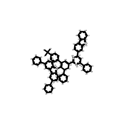 CC(C)(C)c1ccc(C2=C(n3c4ccc(-c5ccccc5)cc4c4cc(-c5ccccc5)ccc43)C(c3ccccc3)CC(c3nc(-c4ccccc4)cc(-c4ccc5c(c4)oc4ccccc45)n3)=C2)cc1